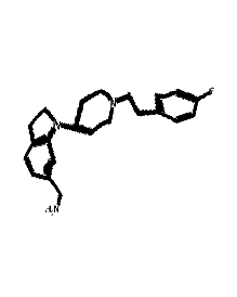 NCc1ccc2c(c1)N(C1CCN(CCc3ccc(F)cc3)CC1)CC2